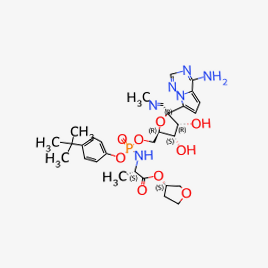 CN=C[C@@]1(c2ccc3c(N)ncnn23)O[C@H](COP(=O)(N[C@@H](C)C(=O)O[C@H]2CCOC2)Oc2ccc(C(C)(C)C)cc2)[C@@H](O)[C@H]1O